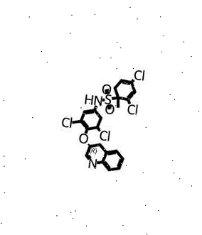 CC1(S(=O)(=O)NC2=CC(Cl)=C(O[C@H]3C=Nc4ccccc4C3)C(Cl)C2)CC=C(Cl)C=C1Cl